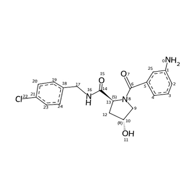 Nc1cccc(C(=O)N2C[C@H](O)C[C@H]2C(=O)NCc2ccc(Cl)cc2)c1